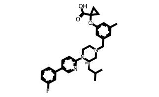 Cc1cc(CN2CCN(c3ccc(-c4cccc(F)c4)cn3)[C@H](CC(C)C)C2)cc(OC2(C(=O)O)CC2)c1